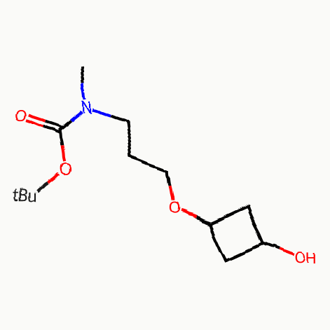 CN(CCCOC1CC(O)C1)C(=O)OC(C)(C)C